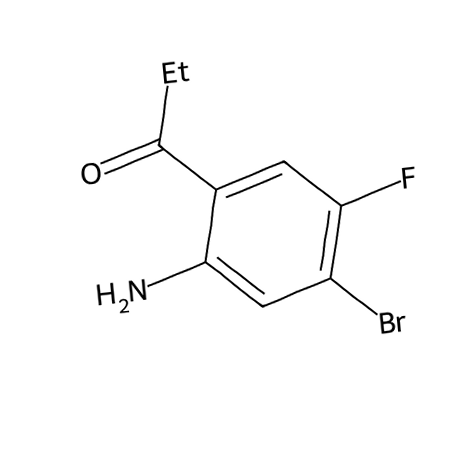 CCC(=O)c1cc(F)c(Br)cc1N